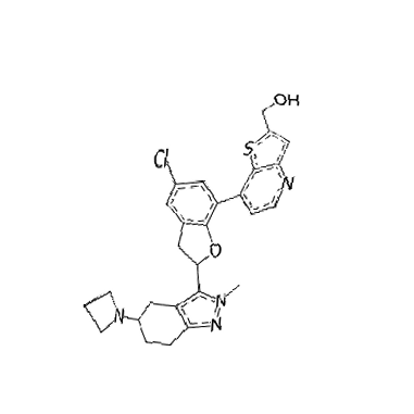 Cn1nc2c(c1C1Cc3cc(Cl)cc(-c4ccnc5cc(CO)sc45)c3O1)CC(N1CCC1)CC2